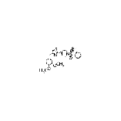 COc1ccc(Cc2csc(N3CCN(S(=O)(=O)c4ccccc4Br)CC3)n2)cc1OC